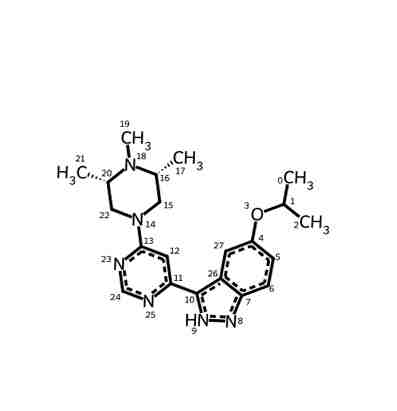 CC(C)Oc1ccc2n[nH]c(-c3cc(N4C[C@@H](C)N(C)[C@@H](C)C4)ncn3)c2c1